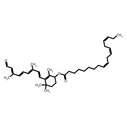 CC/C=C\C/C=C\C/C=C\CCCCCCCC(=O)OC1CCC(C)(C)C(C=CC(C)=CC=CC(C)=CC=O)=C1C